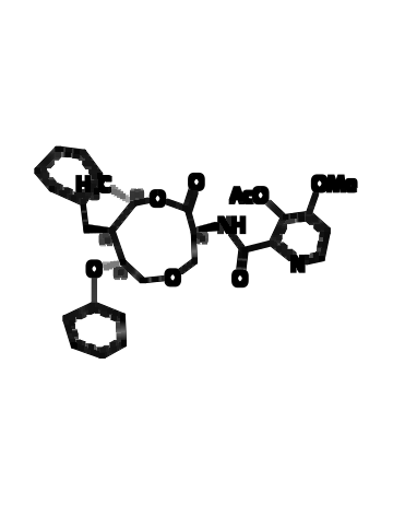 COc1ccnc(C(=O)N[C@H]2COC[C@H](Oc3ccccc3)[C@@H](Cc3ccccc3)[C@H](C)OC2=O)c1OC(C)=O